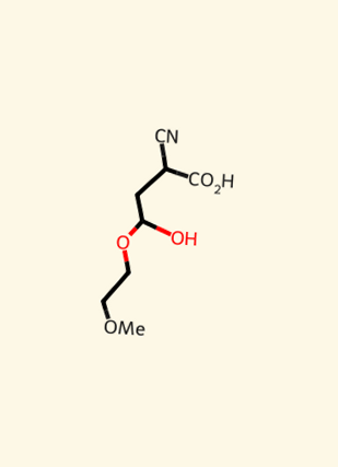 COCCOC(O)CC(C#N)C(=O)O